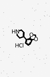 C1=C(c2cccc3c2OCO3)CCNC1.Cl